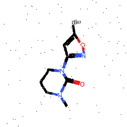 CN1CCCN(c2cc(C(C)(C)C)on2)C1=O